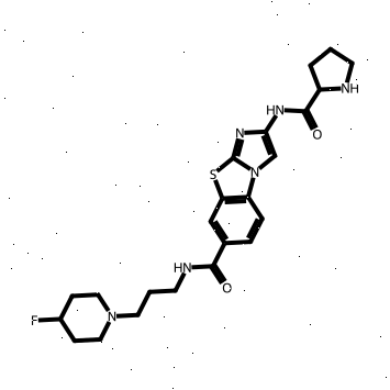 O=C(NCCCN1CCC(F)CC1)c1ccc2c(c1)sc1nc(NC(=O)C3CCCN3)cn12